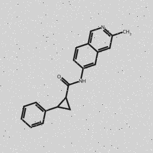 Cc1cc2cc(NC(=O)C3CC3c3ccccc3)ccc2cn1